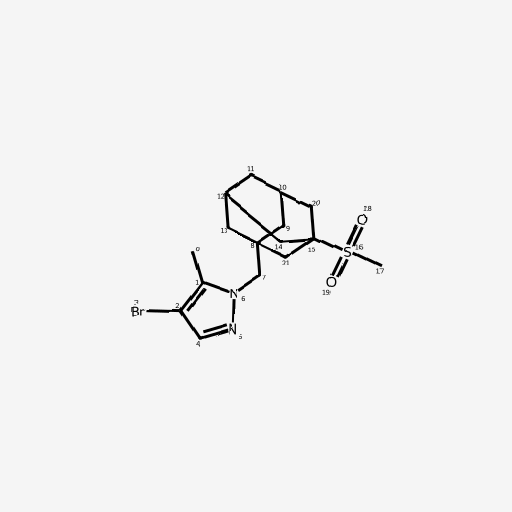 Cc1c(Br)cnn1CC12CC3CC(C1)CC(S(C)(=O)=O)(C3)C2